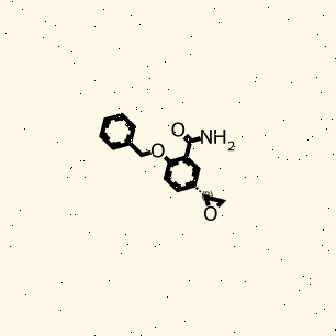 NC(=O)c1cc([C@@H]2CO2)ccc1OCc1ccccc1